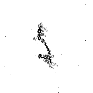 Cc1c(C(C)Nc2nnc(C)c3ccc(N4CCN(CCCCCCCCCNC(=O)C(CC(C)C)NC(=O)C(O)C(N)Cc5ccccc5)CC4)cc23)cccc1C(F)(F)F